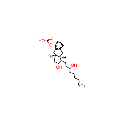 CCCCC[C@H](O)CC[C@@H]1[C@H]2Cc3cccc(OC(=O)O)c3C[C@H]2C[C@H]1O